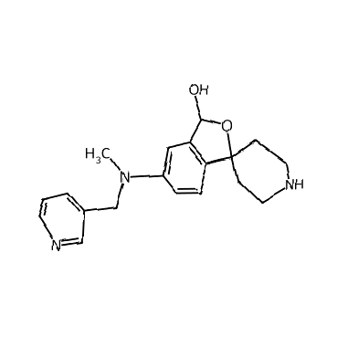 CN(Cc1cccnc1)c1ccc2c(c1)C(O)OC21CCNCC1